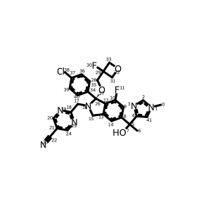 Cn1cnc(C(C)(O)c2cc(F)c3c(c2)CN(Cc2ncc(C#N)cn2)[C@@]3(OCC2(F)COC2)c2ccc(Cl)cc2)c1